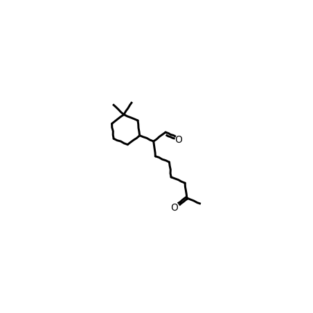 CC(=O)CCCCC(C=O)C1CCCC(C)(C)C1